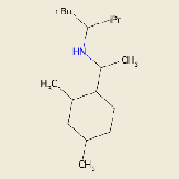 CCCCC(NC(C)C1CCC(C)CC1C)C(C)C